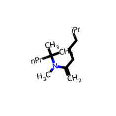 C=C(CCCC(C)C)N(C)C(C)(C)CCC